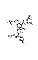 CO/N=C(\C(=O)NC1C(=O)N2C(C(=O)OC(C)OC(C)=O)=C(/C=C\COC(C)=O)CS[C@H]12)c1csc(N)n1